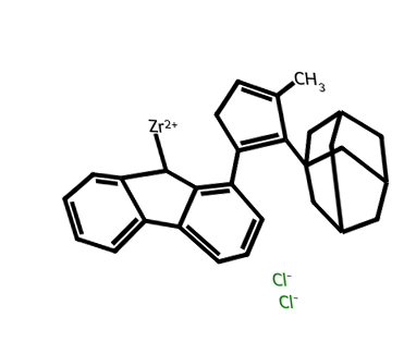 CC1=CCC(c2cccc3c2[CH]([Zr+2])c2ccccc2-3)=C1C12CC3CC(CC(C3)C1)C2.[Cl-].[Cl-]